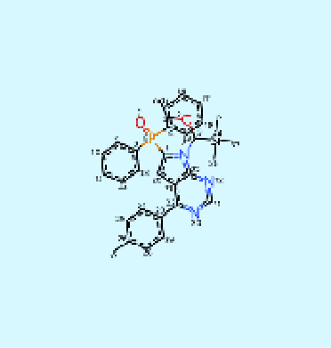 CCOC(n1c(P(=O)(c2ccccc2)c2ccccc2)cc2c(-c3ccc(C)cc3)ncnc21)[Si](C)(C)C